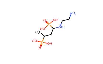 CC(CC(NCCN)P(=O)(O)O)P(=O)(O)O